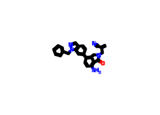 C=C(C#N)CN1Cc2c(-c3ccc4cnn(Cc5ccccc5)c4c3)ccc(N)c2C1=O